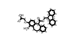 Nc1c(OCC(=O)O)ccc2c1CCc1ccccc1C2C(=O)OCC1c2ccccc2-c2ccccc21